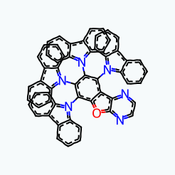 c1ccc2c(c1)c1ccccc1n2-c1c(-n2c3ccccc3c3ccccc32)c(-n2c3ccccc3c3ccccc32)c2c(oc3nccnc32)c1-n1c2ccccc2c2ccccc21